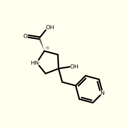 O=C(O)[C@@H]1CC(O)(Cc2ccncc2)CN1